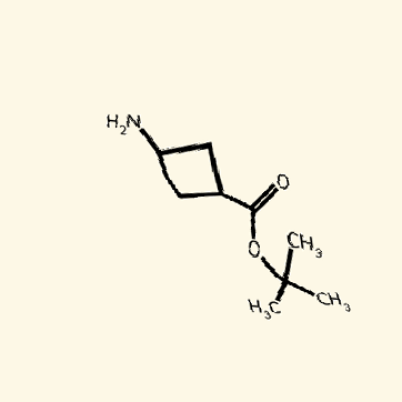 CC(C)(C)OC(=O)C1CC(N)C1